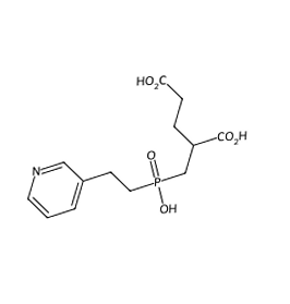 O=C(O)CCC(CP(=O)(O)CCc1cccnc1)C(=O)O